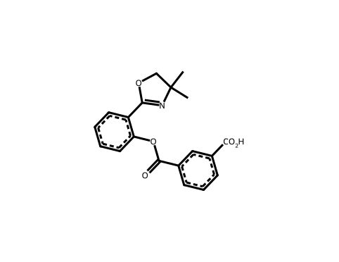 CC1(C)COC(c2ccccc2OC(=O)c2cccc(C(=O)O)c2)=N1